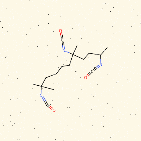 CC(CCC(C)(CCCCC(C)(C)N=C=O)N=C=O)N=C=O